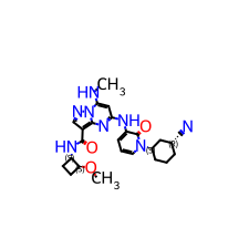 CNc1cc(Nc2cccn([C@H]3CCC[C@@H](C#N)C3)c2=O)nc2c(C(=O)N[C@H]3CC[C@@H]3OC)cnn12